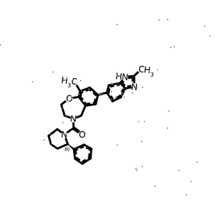 Cc1nc2ccc(-c3cc(C)c4c(c3)CN(C(=O)N3CCCC[C@@H]3c3ccccc3)CCO4)cc2[nH]1